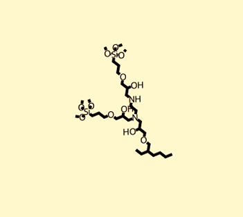 CCCCC(CC)COCC(O)CN(CCNCC(O)COCCC[Si](OC)(OC)OC)CC(O)COCCC[Si](OC)(OC)OC